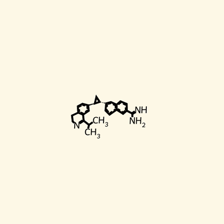 CC(C)C1=NCCc2ccc([C@H]3C[C@@H]3c3ccc4cc(C(=N)N)ccc4c3)cc21